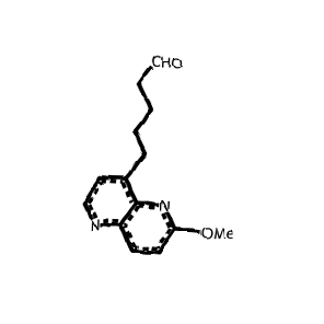 COc1ccc2nccc(CCCCC=O)c2n1